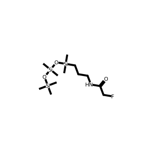 C[Si](C)(C)O[Si](C)(C)O[Si](C)(C)CCCNC(=O)CF